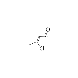 C/C(Cl)=C/[C]=O